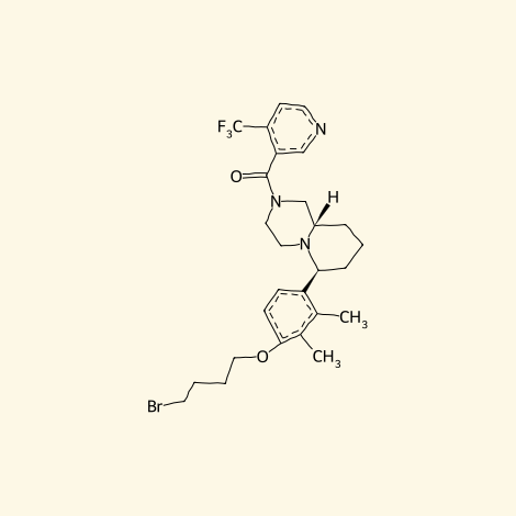 Cc1c(OCCCCBr)ccc([C@@H]2CCC[C@H]3CN(C(=O)c4cnccc4C(F)(F)F)CCN32)c1C